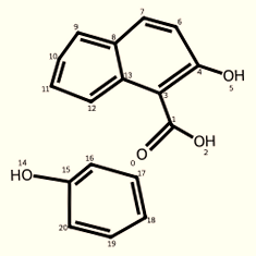 O=C(O)c1c(O)ccc2ccccc12.Oc1ccccc1